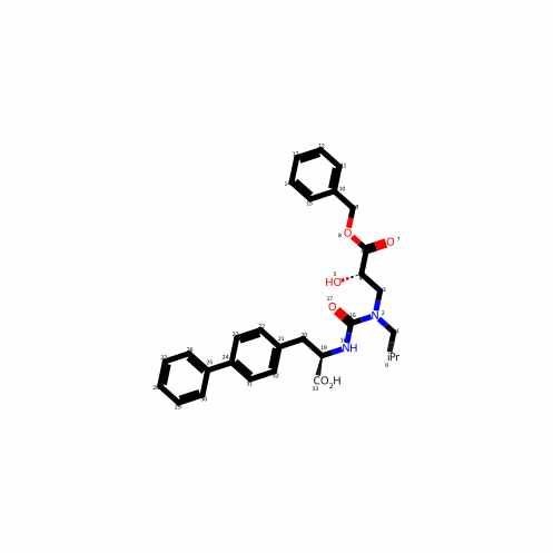 CC(C)CN(C[C@H](O)C(=O)OCc1ccccc1)C(=O)N[C@H](Cc1ccc(-c2ccccc2)cc1)C(=O)O